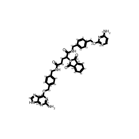 Nc1ccnc(OCc2ccc(CNC(=O)C(CCC(=O)NCc3ccc(COc4nc(N)nc5[nH]cnc45)cc3)N3C(=O)c4ccccc4C3=O)cc2)n1